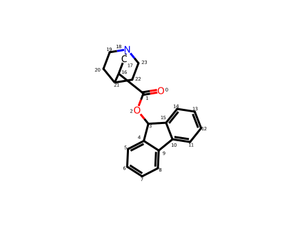 O=C(OC1c2ccccc2-c2ccccc21)C1CN2CCC1CC2